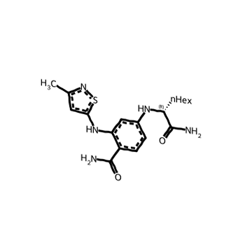 CCCCCC[C@@H](Nc1ccc(C(N)=O)c(Nc2cc(C)ns2)c1)C(N)=O